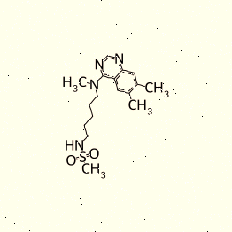 Cc1cc2ncnc(N(C)CCCCCNS(C)(=O)=O)c2cc1C